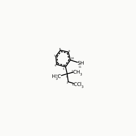 CC(C)(CC(Cl)(Cl)Cl)c1ccccc1S